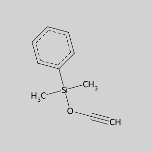 C#CO[Si](C)(C)c1ccccc1